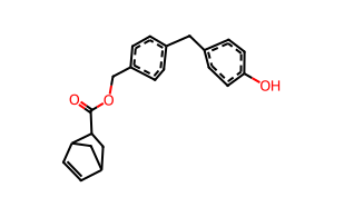 O=C(OCc1ccc(Cc2ccc(O)cc2)cc1)C1CC2C=CC1C2